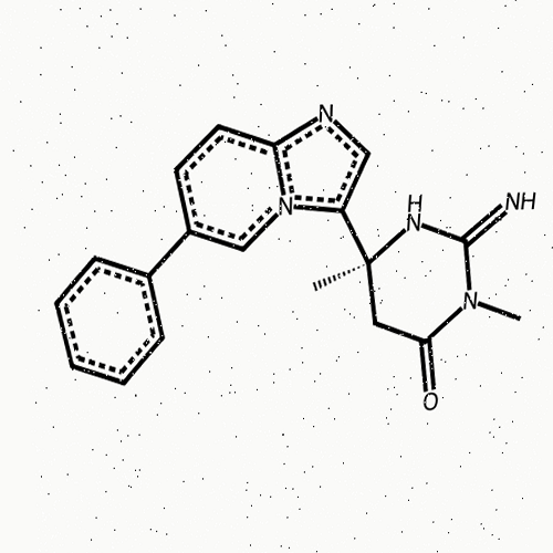 CN1C(=N)N[C@](C)(c2cnc3ccc(-c4ccccc4)cn23)CC1=O